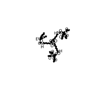 C=CCOCC(CC)(COCC=C)COC(=O)NCCCCCCn1c(=O)n(CCCCCCNC(=O)OCC(COC(=O)C=C)(COC(=O)C=C)COC(=O)C=C)c(=O)n(CCCCCCNC(=O)OCC(COC(=O)C=C)(COC(=O)C=C)COC(=O)C=C)c1=O